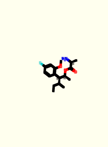 CCC(C)[C@@H](c1ccc(F)cc1OC)[C@H](C)OC(=O)[C@H](C)N